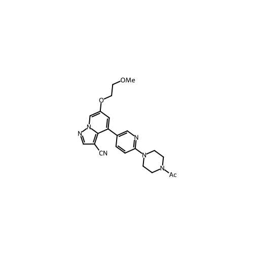 COCCOc1cc(-c2ccc(N3CCN(C(C)=O)CC3)nc2)c2c(C#N)cnn2c1